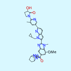 COc1cc(C(=O)N2CC3CCC2[C@@H]3N)cc2nc(-c3cc4ccc(-c5cnc(N6CCC(O)C6=O)c(C)c5)nc4n3CC3CC3)n(C)c12